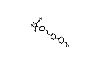 N#Cc1nn[nH]c1-c1ccc(/C=C/c2ccc(-c3ccc(C=O)cc3)cc2)cc1